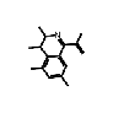 C=C(C)C1=NC(C)C(C)c2c(C)cc(C)cc21